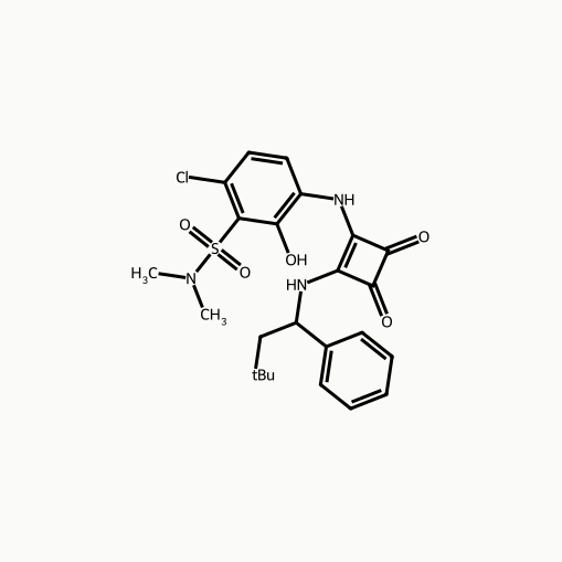 CN(C)S(=O)(=O)c1c(Cl)ccc(Nc2c(NC(CC(C)(C)C)c3ccccc3)c(=O)c2=O)c1O